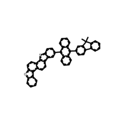 CC1(C)c2ccccc2-c2ccc(-c3c4ccccc4c(-c4ccc5sc6c(ccc7c6ccc6oc8ccccc8c67)c5c4)c4ccccc34)cc21